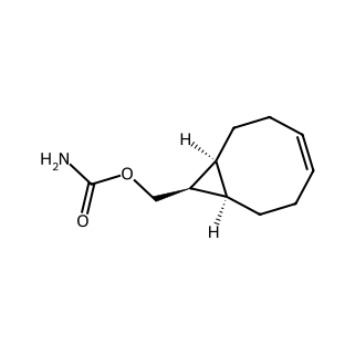 NC(=O)OC[C@@H]1[C@@H]2CC/C=C\CC[C@@H]21